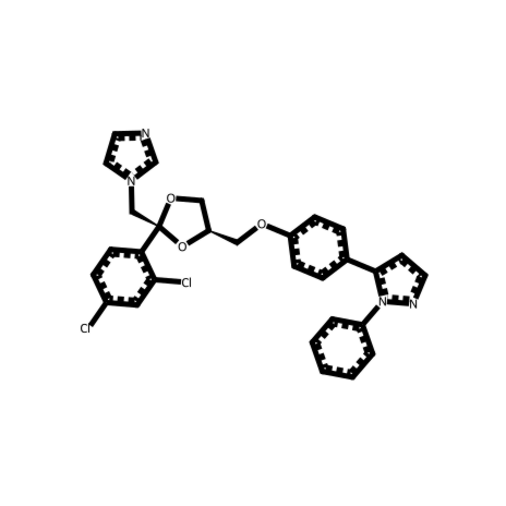 Clc1ccc([C@]2(Cn3ccnc3)OC[C@@H](COc3ccc(-c4ccnn4-c4ccccc4)cc3)O2)c(Cl)c1